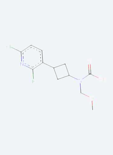 COCN(C(=O)O)C1CC(c2ccc(Cl)nc2F)C1